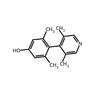 Cc1cncc(C)c1-c1c(C)cc(O)cc1C